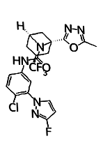 Cc1nnc([C@]23C[C@H](C[C@H](C(F)(F)F)C2)N3C(=O)Nc2ccc(Cl)c(-n3ccc(F)n3)c2)o1